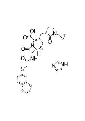 O=C(CSc1ccc2ccccc2c1)N[C@@H]1C(=O)N2C(C(=O)O)=C(C=C3CCN(C4CC4)C3=O)CS[C@H]12.c1c[nH]cn1